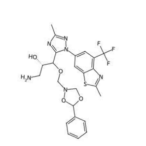 Cc1nc(C(OCN2COC(c3ccccc3)O2)[C@@H](O)CN)n(-c2cc(C(F)(F)F)c3nc(C)sc3c2)n1